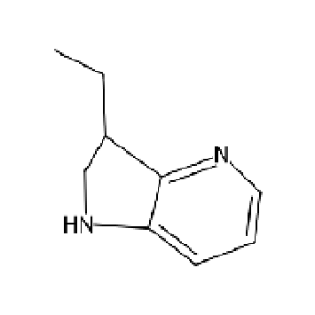 CCC1CNc2cccnc21